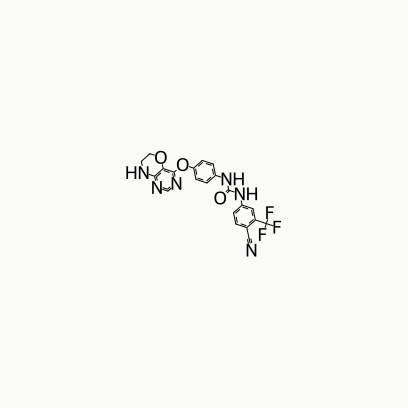 N#Cc1ccc(NC(=O)Nc2ccc(Oc3ncnc4c3OCCN4)cc2)cc1C(F)(F)F